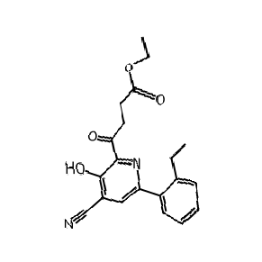 CCOC(=O)CCC(=O)c1nc(-c2ccccc2CC)cc(C#N)c1O